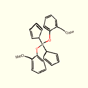 COc1ccccc1[O][Zr]([O]c1ccccc1OC)([CH]1C=CC=C1)[CH]1C=CC=C1